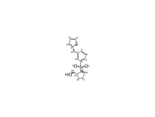 O=S(=O)(c1cccc(Sc2cccs2)c1)N1CCC[C@H]1CO